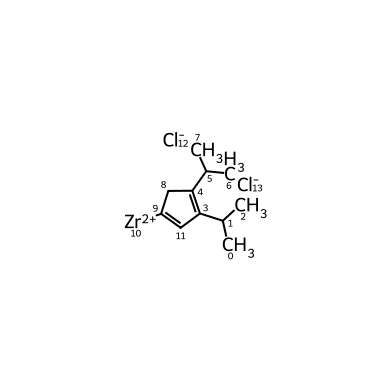 CC(C)C1=C(C(C)C)C[C]([Zr+2])=C1.[Cl-].[Cl-]